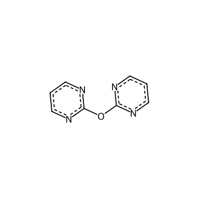 c1cnc(Oc2ncccn2)nc1